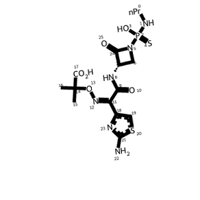 CCCNP(O)(=S)N1C[C@H](NC(=O)C(=NOC(C)(C)C(=O)O)c2csc(N)n2)C1=O